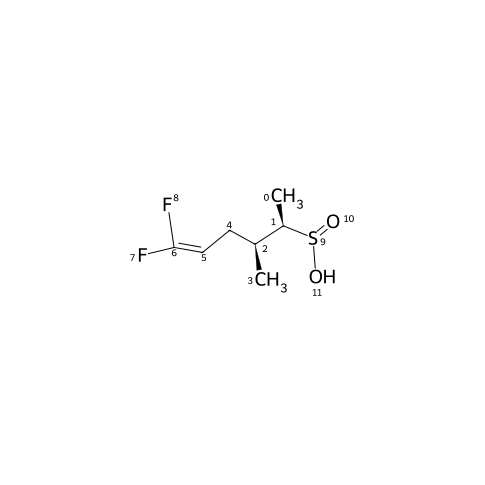 C[C@H]([C@@H](C)CC=C(F)F)S(=O)O